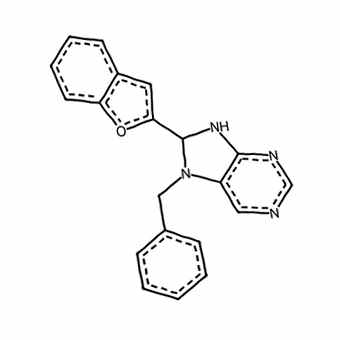 c1ccc(CN2c3cncnc3NC2c2cc3ccccc3o2)cc1